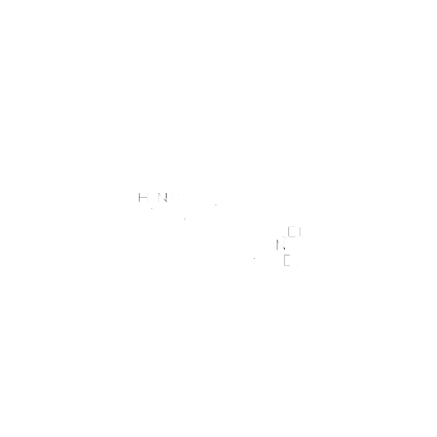 CCN(CC)c1ccc(Cc2cccc(N)c2)cc1